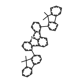 CC1(C)c2ccccc2-c2cccc(-c3cccc4c3c3cccc5c6c(-c7cccc8c7C(C)(C)c7ccccc7-8)cccc6n4c35)c21